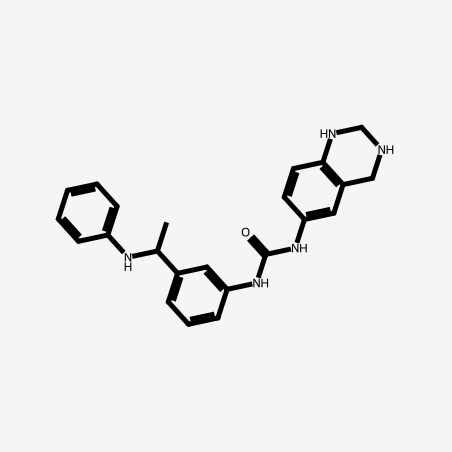 CC(Nc1ccccc1)c1cccc(NC(=O)Nc2ccc3c(c2)CNCN3)c1